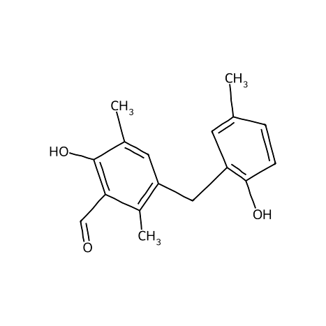 Cc1ccc(O)c(Cc2cc(C)c(O)c(C=O)c2C)c1